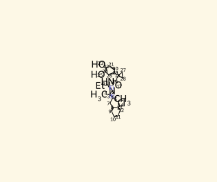 CC/C(=N\C(C)=C(/C)Cc1ccccc1Cl)NC(=O)C1(c2ccc(O)c(O)c2)CC1